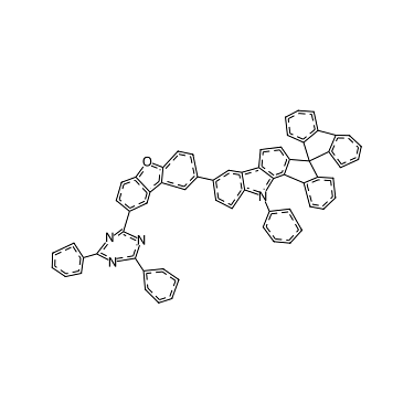 c1ccc(-c2nc(-c3ccccc3)nc(-c3ccc4oc5ccc(-c6ccc7c(c6)c6ccc8c(c6n7-c6ccccc6)-c6ccccc6C86c7ccccc7-c7ccccc76)cc5c4c3)n2)cc1